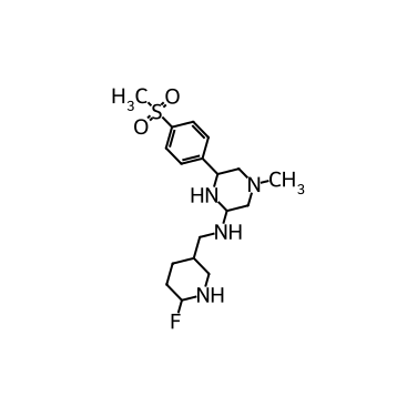 CN1CC(NCC2CCC(F)NC2)NC(c2ccc(S(C)(=O)=O)cc2)C1